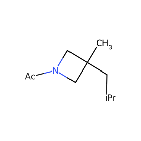 CC(=O)N1CC(C)(CC(C)C)C1